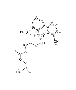 CC(O)COC(C)COC(C)CO.O=C(O)c1ccccc1O.O=C(O)c1ccccc1O